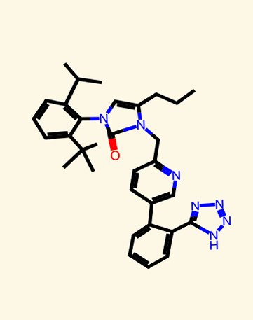 CCCc1cn(-c2c(C(C)C)cccc2C(C)(C)C)c(=O)n1Cc1ccc(-c2ccccc2-c2nnn[nH]2)cn1